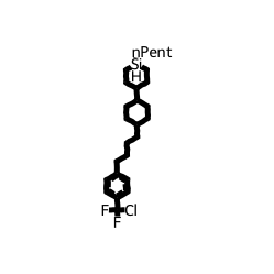 CCCCC[SiH]1CCC(C2CCC(CCCCc3ccc(C(F)(F)Cl)cc3)CC2)CC1